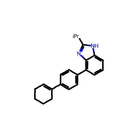 CC(C)c1nc2c(-c3ccc(C4=CCCCC4)cc3)cccc2[nH]1